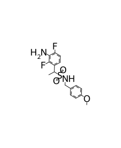 COc1ccc(CNS(=O)(=O)C(C)c2ccc(F)c(N)c2F)cc1